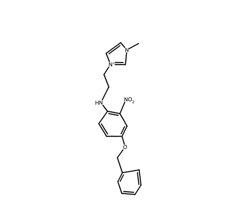 Cn1cc[n+](CCNc2ccc(OCc3ccccc3)cc2[N+](=O)[O-])c1